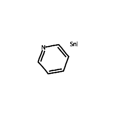 [Sn].c1ccncc1